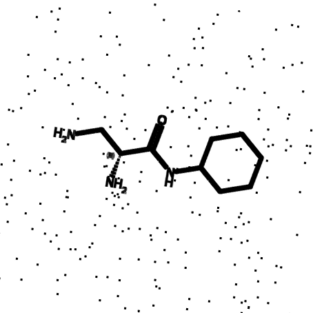 NC[C@@H](N)C(=O)NC1CCCCC1